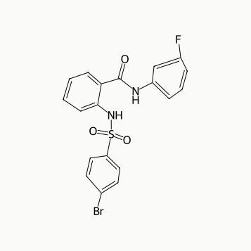 O=C(Nc1cccc(F)c1)c1ccccc1NS(=O)(=O)c1ccc(Br)cc1